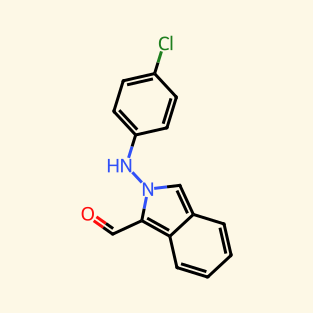 O=Cc1c2ccccc2cn1Nc1ccc(Cl)cc1